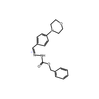 O=C(N/N=C\c1ccc(N2CCOCC2)cc1)OCc1ccccc1